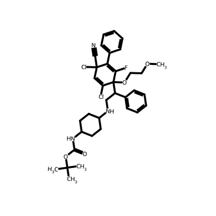 COCCOC1(C(CNC2CCC(NC(=O)OC(C)(C)C)CC2)c2ccccc2)C(Cl)=CC(Cl)(C#N)C(c2ccccc2)=C1F